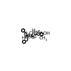 Cc1cc(O)cc(C)c1C[C@H](N)C(=O)N[C@H](C)C(=O)NC[C@H](Cc1ccccc1)NC(=O)OCc1ccccc1